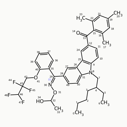 CCCCC(CC)Cn1c2ccc(C(=O)c3c(C)cc(C)cc3C)cc2c2cc(/C(=N\OC(C)O)c3ccccc3OCC(F)(F)C(F)F)ccc21